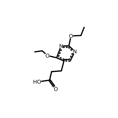 CCOc1ncc(CCC(=O)O)c(OCC)n1